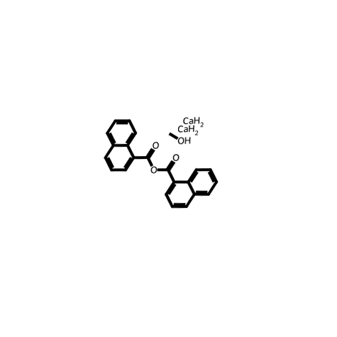 CO.O=C(OC(=O)c1cccc2ccccc12)c1cccc2ccccc12.[CaH2].[CaH2]